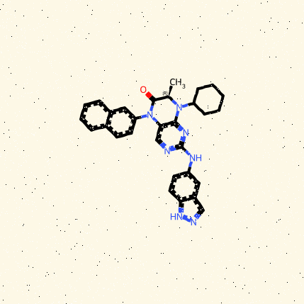 C[C@@H]1C(=O)N(c2ccc3ccccc3c2)c2cnc(Nc3ccc4[nH]ncc4c3)nc2N1C1CCCCC1